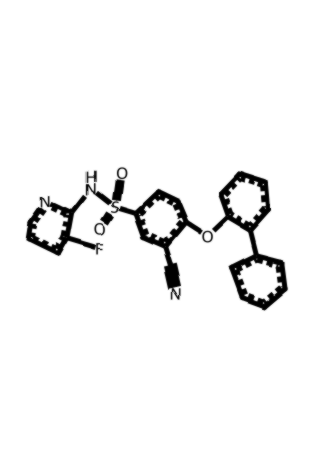 N#Cc1cc(S(=O)(=O)Nc2ncccc2F)ccc1Oc1ccccc1-c1ccccc1